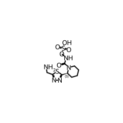 NCc1nnc([C@@H]2CCCCN2C(=O)NOS(=O)(=O)O)s1